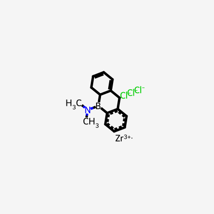 CN(C)B1c2ccccc2CC2=CC=CCC12.[Cl-].[Cl-].[Cl-].[Zr+3]